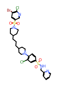 O=S(=O)(NCc1ccccn1)c1ccc(N2CCC(CCCC3CCN(S(=O)(=O)c4cnc(Cl)c(Br)c4)CC3)CC2)c(Cl)c1